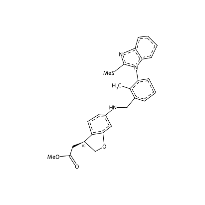 COC(=O)C[C@@H]1COc2cc(NCc3cccc(-n4c(SC)nc5ccccc54)c3C)ccc21